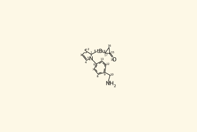 CC(C)(C)C1SC=CN1c1ccc(CN)cc1.O=C1CC1